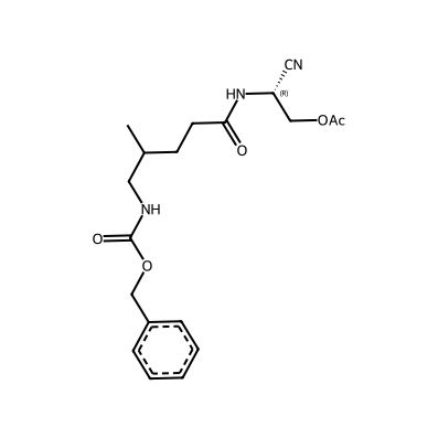 CC(=O)OC[C@@H](C#N)NC(=O)CCC(C)CNC(=O)OCc1ccccc1